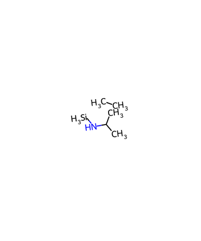 CC.CC(C)N[SiH3]